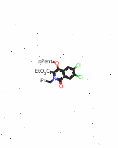 CCCCCOc1c(C(=O)OCC)n(CC(C)C)c(=O)c2cc(Cl)c(Cl)cc12